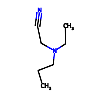 CCCN(CC)CC#N